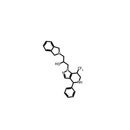 OC(CN1Cc2ccccc2C1)Cn1ncc2c1C(C(F)(F)F)CNC2c1ccccc1